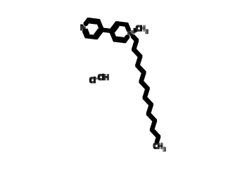 CCCCCCCCCCCCCC[N+]1(C)C=CC(c2ccncc2)=CC1.Cl.[Cl-]